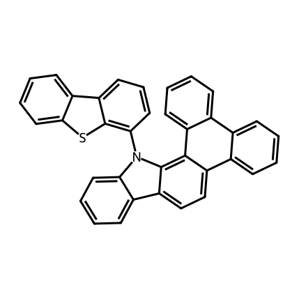 c1ccc2c(c1)sc1c(-n3c4ccccc4c4ccc5c6ccccc6c6ccccc6c5c43)cccc12